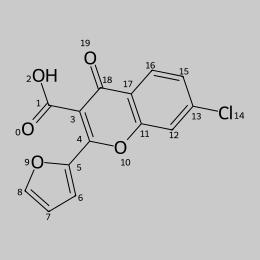 O=C(O)c1c(-c2ccco2)oc2cc(Cl)ccc2c1=O